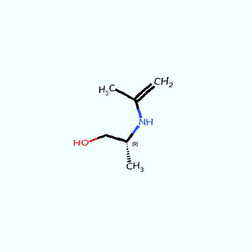 C=C(C)N[C@H](C)CO